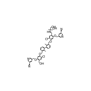 Cc1c(COc2cc(OCc3cncc(C#N)c3)c(CO)cc2Cl)cccc1-c1cccc(COc2cc(OCc3cncc(C#N)c3)c(CNC(C)(CO)CO)cc2Cl)c1C